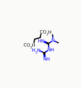 CN(C)C(=N)NC(=N)N.O=C(O)CCC(=O)O